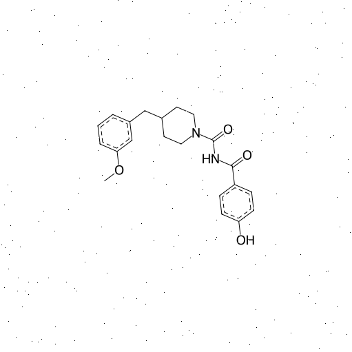 COc1cccc(CC2CCN(C(=O)NC(=O)c3ccc(O)cc3)CC2)c1